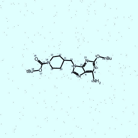 CCCCOc1nc(N)c2ncn(CC3CCN(C(=O)OC(C)(C)C)CC3)c2n1